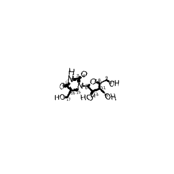 O=c1[nH]c(=O)n([C@H]2O[C@@H](CO)C(O)C2O)cc1CO